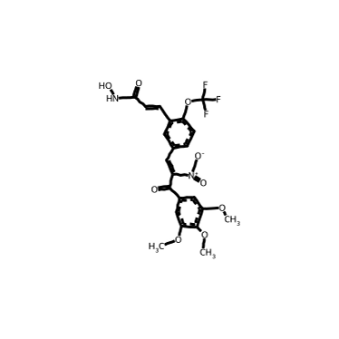 COc1cc(C(=O)C(=Cc2ccc(OC(F)(F)F)c(C=CC(=O)NO)c2)[N+](=O)[O-])cc(OC)c1OC